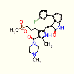 Cc1[nH]c(/C=C2\C(=O)Nc3cccc(-c4cccc(F)c4)c32)c(CCCS(C)(=O)=O)c1C(=O)N1CCN(C)CC1